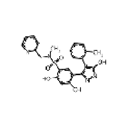 Cc1ccccc1-n1c(O)nnc1-c1cc(S(=O)(=O)N(C)Cc2ccccn2)c(O)cc1O